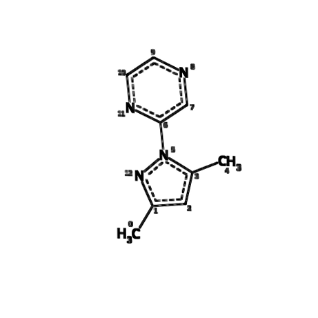 Cc1cc(C)n(-c2cnccn2)n1